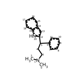 CN(C)CCC(c1ccccc1)c1cc2ccccc2[nH]1